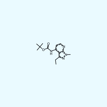 CCc1nn(C)c2nccc(NC(=O)OC(C)(C)C)c12